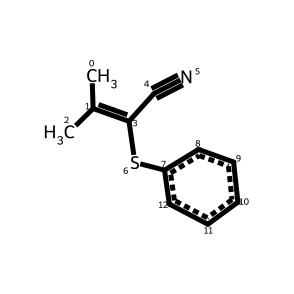 CC(C)=C(C#N)Sc1ccccc1